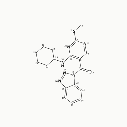 CSc1ncc(C(=O)n2nnc3ccccc32)c(NC2CCCCC2)n1